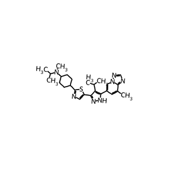 Cc1cc(-c2[nH]nc(-c3cnc(C4CCC(N(C)C(C)C)CC4)s3)c2C(C)C)cn2ncnc12